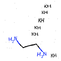 NCCN.[KH].[KH].[KH].[KH].[KH].[KH]